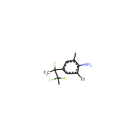 CCc1cc(C(F)(C(C)(F)F)C(F)(F)F)cc(C)c1N